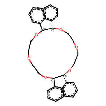 c1ccc([C@H]2OCCOCCO[C@@H](c3ccccc3)[C@H](c3ccccc3)OCCOCCO[C@@H]2c2ccccc2)cc1